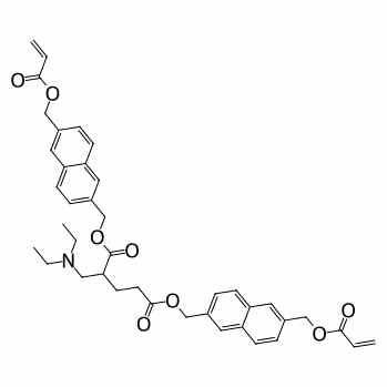 C=CC(=O)OCc1ccc2cc(COC(=O)CCC(CN(CC)CC)C(=O)OCc3ccc4cc(COC(=O)C=C)ccc4c3)ccc2c1